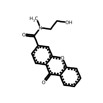 CN(CCO)C(=O)c1ccc2c(=O)c3ccccc3oc2c1